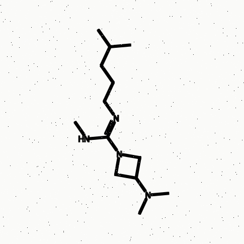 CN/C(=N\CCCC(C)C)N1CC(N(C)C)C1